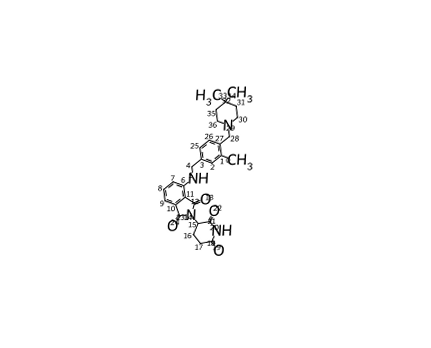 Cc1cc(CNc2cccc3c2C(=O)N(C2CCC(=O)NC2=O)C3=O)ccc1CN1CCC(C)(C)CC1